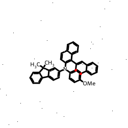 COc1ccc(N(c2ccc3c(c2)C(C)(C)c2ccccc2-3)c2ccc3ccccc3c2-c2ccc3ccccc3c2)cc1